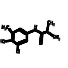 Cc1cc(NC(=O)C(C)C)cc(Cl)c1O